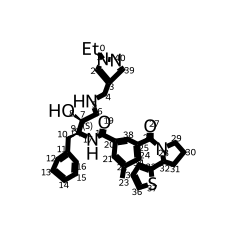 CCn1cc(CNC[C@H](O)[C@H](Cc2ccccc2)NC(=O)c2cc(C)cc(C(=O)N3CCCC3c3cccs3)c2)cn1